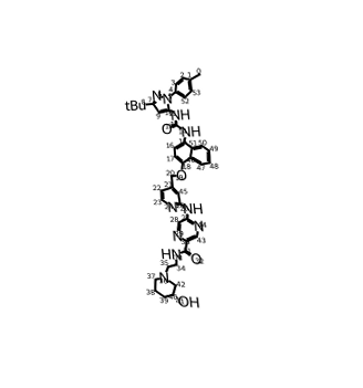 Cc1ccc(-n2nc(C(C)(C)C)cc2NC(=O)Nc2ccc(OCc3ccnc(Nc4cnc(C(=O)NCCN5CCC[C@@H](O)C5)cn4)c3)c3ccccc23)cc1